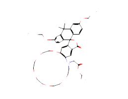 CC(=O)OCOC(=O)CN1CCOCCOCCOCCOCCOc2cc3c(cc21)C(=O)OC31c2ccc(OCOC(C)=O)cc2C(C)(C)c2cc(OCOC(C)=O)ccc21